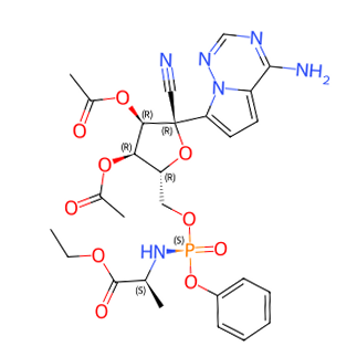 CCOC(=O)[C@H](C)N[P@](=O)(OC[C@H]1O[C@@](C#N)(c2ccc3c(N)ncnn23)[C@H](OC(C)=O)[C@@H]1OC(C)=O)Oc1ccccc1